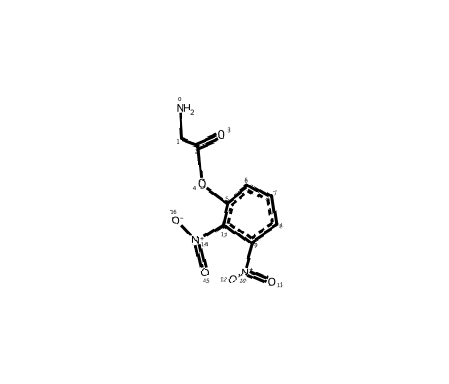 NCC(=O)Oc1cccc([N+](=O)[O-])c1[N+](=O)[O-]